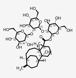 C=C1CC[C@@H]2CC[C@@H]1CCC[C@H]1[C@@]2(C)CCC[C@@]1(C)C(=O)O[C@@H]1O[C@H](CO)[C@@H](O)[C@H](O)[C@H]1O[C@@H]1O[C@H](CO)[C@@H](O)[C@H](O)[C@H]1O[C@@H]1O[C@H](CO)[C@@H](O)[C@H](O)[C@H]1O